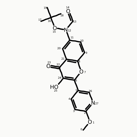 COc1ccc(-c2oc3ccc(N(C=O)OC(C)(C)C)cc3c(=O)c2O)cn1